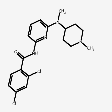 CN1CCC(N(C)c2cccc(NC(=O)c3ccc(Cl)cc3Cl)n2)CC1